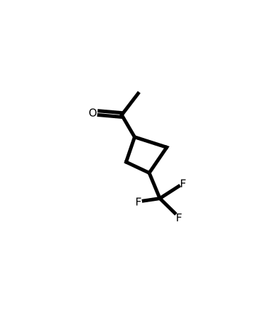 CC(=O)C1CC(C(F)(F)F)C1